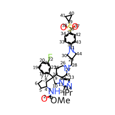 COC(=O)N[C@H]1CCC[C@@H]1[C@](Cn1ccnc1C(C)C)(c1cccc(F)c1)C1CCN(CC2CN(c3ccc(S(=O)(=O)C4CC4)cc3)C2)CC1